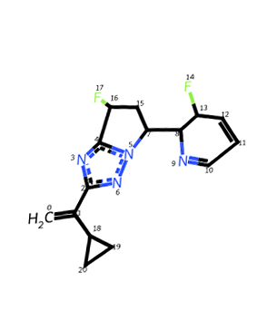 C=C(c1nc2n(n1)C(C1N=CC=CC1F)CC2F)C1CC1